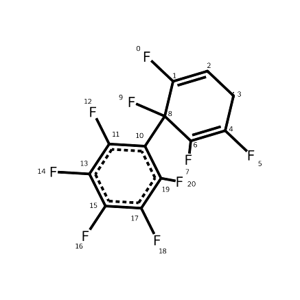 FC1=C[CH]C(F)=C(F)C1(F)c1c(F)c(F)c(F)c(F)c1F